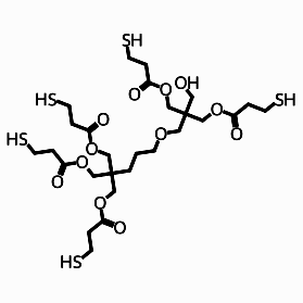 O=C(CCS)OCC(CO)(COCCCC(COC(=O)CCS)(COC(=O)CCS)COC(=O)CCS)COC(=O)CCS